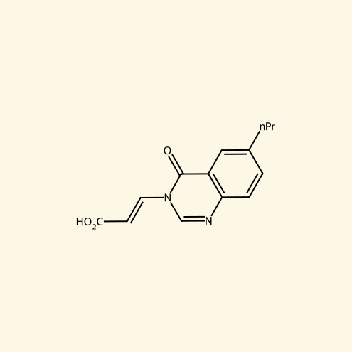 CCCc1ccc2ncn(C=CC(=O)O)c(=O)c2c1